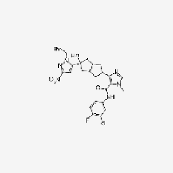 CC(C)Cn1nc([N+](=O)[O-])cc1C1(O)CC2CC(c3ncn(C)c3C(=O)Nc3ccc(F)c(Cl)c3)CC2C1